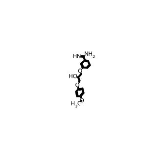 COc1ccc(OCC(O)COc2cccc(C(=N)N)c2)cc1